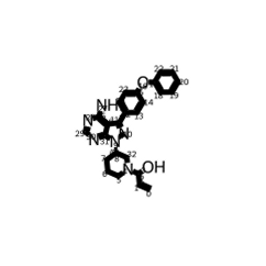 C=CC(O)N1CCC[C@@H](n2nc(-c3ccc(Oc4ccccc4)cc3)c3c(N)ncnc32)C1